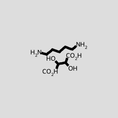 NCCCCCN.O=C(O)C(O)C(O)C(=O)O